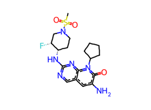 CS(=O)(=O)N1CC[C@H](Nc2ncc3cc(N)c(=O)n(C4CCCC4)c3n2)[C@H](F)C1